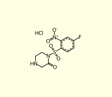 Cl.O=C1CNCCN1S(=O)(=O)c1ccc(F)cc1[N+](=O)[O-]